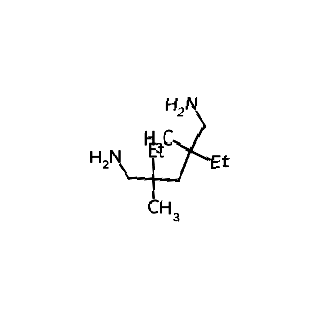 CCC(C)(CN)CC(C)(CC)CN